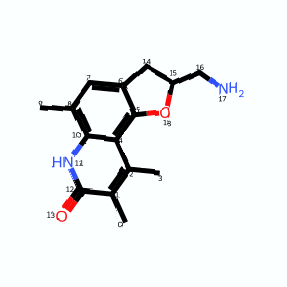 Cc1c(C)c2c3c(cc(C)c2[nH]c1=O)CC(CN)O3